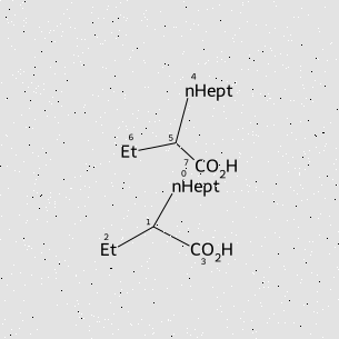 CCCCCCCC(CC)C(=O)O.CCCCCCCC(CC)C(=O)O